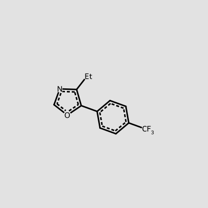 CCc1ncoc1-c1ccc(C(F)(F)F)cc1